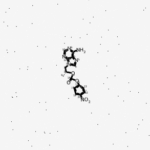 C[C@H](Cn1cnc2c(N)ncnc21)OC(=O)Oc1ccc([N+](=O)[O-])cc1